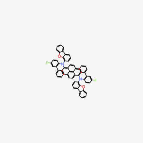 Fc1ccc(N(c2ccc3ccc4c(N(c5ccc(F)cc5-c5ccccc5)c5cccc6c5oc5ccccc56)ccc5ccc2c3c54)c2cccc3c2oc2ccccc23)c(-c2ccccc2)c1